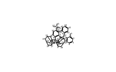 Cc1ccccc1P(Cc1cc([Si](C)(C)C)ccc1C(P)(C12CC3CC(CC(C3)C1)C2)C12CC3CC(CC(C3)C1)C2)c1ccccc1C